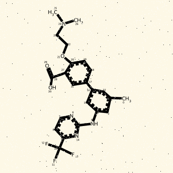 Cc1cc(Nc2nccc(C(F)(F)F)n2)cc(-c2ccc(OCCN(C)C)c(C(=O)O)c2)c1